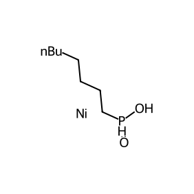 CCCCCCCC[PH](=O)O.[Ni]